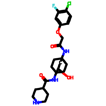 O=C(COc1ccc(Cl)c(F)c1)NC12CCC(NC(=O)C3CCNCC3)(CC1)C(O)C2